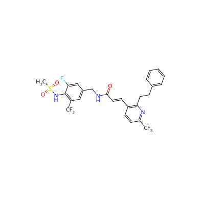 CS(=O)(=O)Nc1c(F)cc(CNC(=O)C=Cc2ccc(C(F)(F)F)nc2CCc2ccccc2)cc1C(F)(F)F